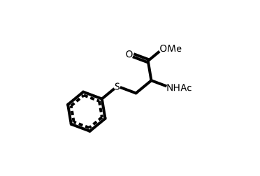 COC(=O)C(CSc1ccccc1)NC(C)=O